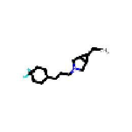 CCC1C2CN(CCCC3CCC(F)(F)CC3)CC12